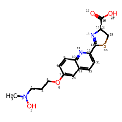 CN(O)CCCOc1ccc2nc(C3=N[C@@H](C(=O)O)CS3)ccc2c1